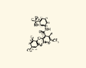 Cc1c(C(F)(F)F)nnc(Oc2c(F)cc(Cl)cc2F)c1C(=O)Nc1cccc(S(C)(=N)=O)c1